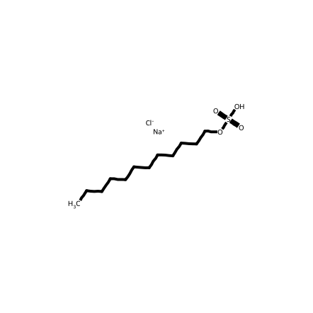 CCCCCCCCCCCCOS(=O)(=O)O.[Cl-].[Na+]